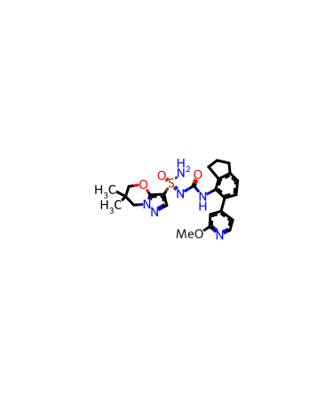 COc1cc(-c2ccc3c(c2NC(=O)N=[S@@](N)(=O)c2cnn4c2OCC(C)(C)C4)CCC3)ccn1